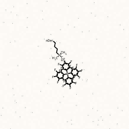 CCCCCCCCCCCCCC[N+](C)(C)C.Fc1c(F)c(F)c([B-](c2c(F)c(F)c(F)c(F)c2F)(c2c(F)c(F)c(F)c(F)c2F)c2c(F)c(F)c(F)c(F)c2F)c(F)c1F